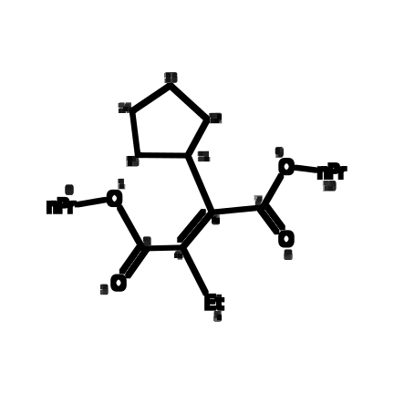 CCCOC(=O)C(CC)=C(C(=O)OCCC)C1CCCC1